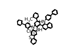 Cc1ccccc1-c1cc(-c2ccc3ccccc3c2Nc2ccc(-c3ccccc3)cc2)c2c(c1)N(c1ccc(-c3ccccc3)cc1C)c1cc3sc4ccccc4c3cc1B2